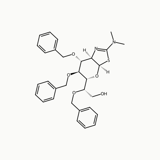 CN(C)C1=N[C@@H]2[C@@H](OCc3ccccc3)[C@H](OCc3ccccc3)[C@@H]([C@H](CO)OCc3ccccc3)O[C@@H]2S1